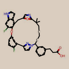 CC1(C)CCCCC(c2cccc(CCC(=O)O)c2)n2ccc(n2)-c2cc(ccc2F)Oc2c(F)cc3[nH]ccc3c2Cc2cnc1o2